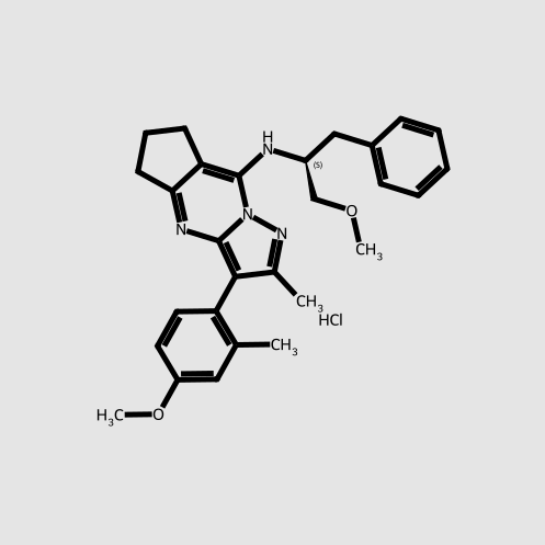 COC[C@H](Cc1ccccc1)Nc1c2c(nc3c(-c4ccc(OC)cc4C)c(C)nn13)CCC2.Cl